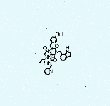 C=CCN1CC(=O)N2[C@@H](Cc3ccc(O)cc3)C(=O)N(Cc3cccc4cc[nH]c34)C[C@@H]2N1C(=O)NCc1ccccn1